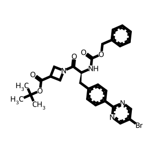 CC(C)(C)OC(=O)C1CN(C(=O)[C@H](Cc2ccc(-c3ncc(Br)cn3)cc2)NC(=O)OCc2ccccc2)C1